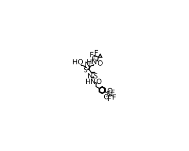 O=C(Cc1ccc(S(=O)(=O)C(F)(F)F)cc1)Nc1nc(-c2sc(CO)nc2CNC(=O)C2(C(F)(F)F)CC2)cs1